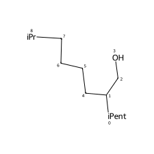 CCCC(C)C(CO)CCCCC(C)C